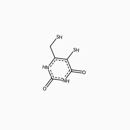 O=c1[nH]c(CS)c(S)c(=O)[nH]1